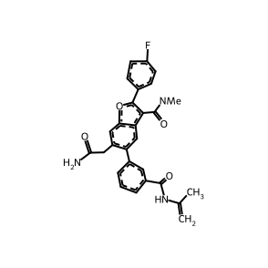 C=C(C)NC(=O)c1cccc(-c2cc3c(C(=O)NC)c(-c4ccc(F)cc4)oc3cc2CC(N)=O)c1